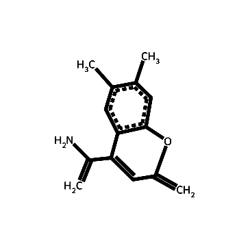 C=C1C=C(C(=C)N)c2cc(C)c(C)cc2O1